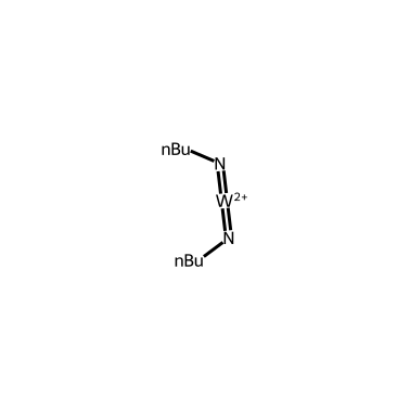 CCCC[N]=[W+2]=[N]CCCC